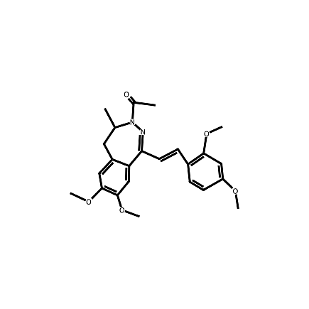 COc1ccc(/C=C/C2=NN(C(C)=O)C(C)Cc3cc(OC)c(OC)cc32)c(OC)c1